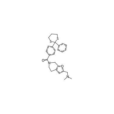 CN(C)Cc1cc2c(o1)CN(C(=O)c1ccc(C3(c4ccccc4)SCCCS3)cc1)CC2